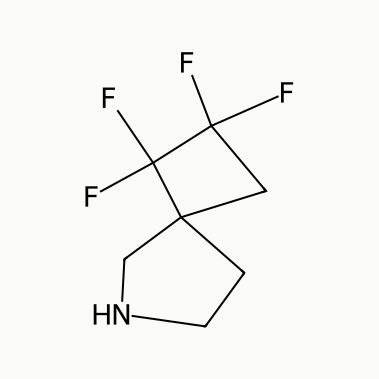 FC1(F)CC2(CCNC2)C1(F)F